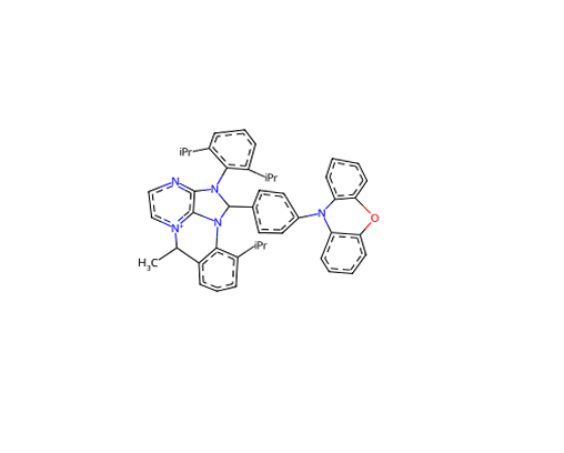 CC(C)c1cccc(C(C)C)c1N1c2ncc[n+]3c2N(c2c(C(C)C)cccc2C3C)C1c1ccc(N2c3ccccc3Oc3ccccc32)cc1